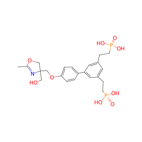 CC1=NC(CO)(COc2ccc(-c3cc(CCP(=O)(O)O)cc(CCP(=O)(O)O)c3)cc2)CO1